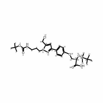 CC(C)(C)OC(=O)NCCCn1nc(-c2ccc(OC[C@@H](O[Si](C)(C)C(C)(C)C)C(=O)O)cc2)cc1CCl